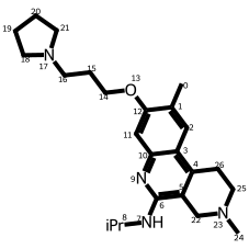 Cc1cc2c3c(c(NC(C)C)nc2cc1OCCCN1CCCC1)CN(C)CC3